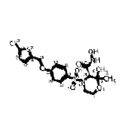 CC1(C)OCCN(S(=O)(=O)c2ccc(OCc3cnc(Cl)s3)cc2)[C@H]1C(=O)NO